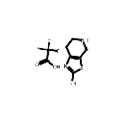 N#Cc1nc2c(s1)CNCC2.O=C(O)C(F)(F)F